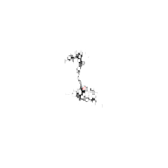 Cc1ncsc1-c1ccc(CNC(=O)[C@@H]2C[C@@H](O)CN2C(=O)C(NC(=O)CCOCCOCCCN2CCC(n3cc(-c4cnc(N)c(O[C@H](C)c5c(Cl)ccc(F)c5Cl)c4)cn3)CC2)C(C)(C)C)cc1